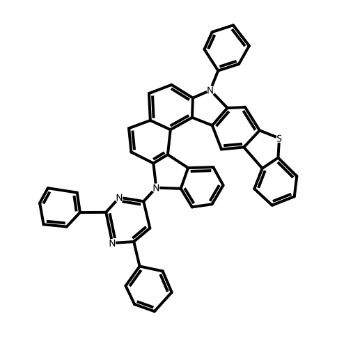 c1ccc(-c2cc(-n3c4ccccc4c4c5c(ccc6c5c5cc7c(cc5n6-c5ccccc5)sc5ccccc57)ccc43)nc(-c3ccccc3)n2)cc1